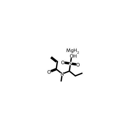 C=CC(=O)N(C)C(CC)S(=O)(=O)O.[MgH2]